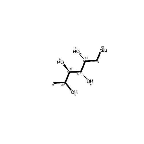 C[C@H](O)[C@@H](O)[C@@H](O)[C@H](O)CC(C)(C)C